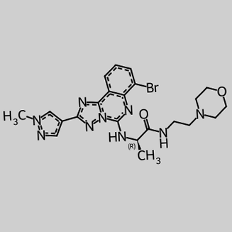 C[C@@H](Nc1nc2c(Br)cccc2c2nc(-c3cnn(C)c3)nn12)C(=O)NCCN1CCOCC1